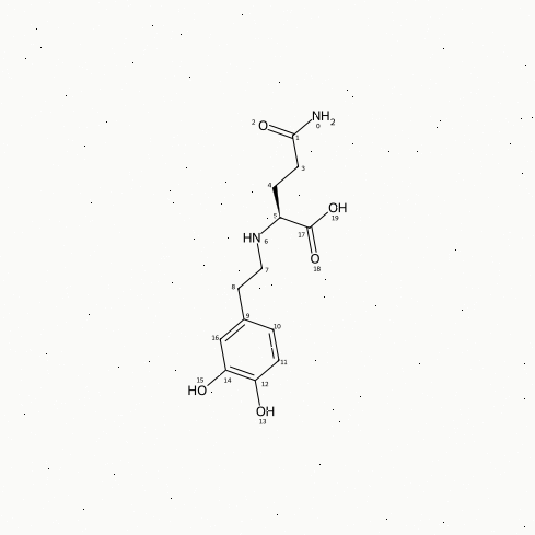 NC(=O)CC[C@H](NCCc1ccc(O)c(O)c1)C(=O)O